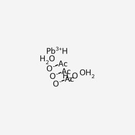 CC(=O)[O-].CC(=O)[O-].CC(=O)[O-].O.O.O.[PbH+3]